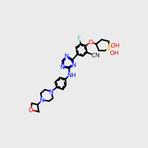 N#Cc1cc(-c2ncnc(Nc3ccc(N4CCN(C5COC5)CC4)cc3)n2)cc(F)c1OC1CCS(O)(O)CC1